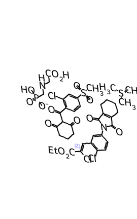 CCOC(=O)/C(Cl)=C/c1cc(N2C(=O)C3=C(CCCC3)C2=O)ccc1Cl.CS(=O)(=O)c1ccc(C(=O)C2C(=O)CCCC2=O)c(Cl)c1.C[S+](C)C.O=C(O)CNCP(=O)([O-])O